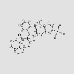 CCCCC1CC(NCc2cc(C(F)(F)F)ccc2OC)C(c2ccccc2N(C)C)N1C(=O)C1(C)CCCOC1